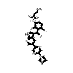 CCCS(=O)(=O)Nc1ccc(F)c(C(=O)c2c[nH]c3ncc(-c4cnc(-n5ccnc5)cn4)cc23)c1F